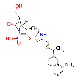 CC(SCC1C[C@H](SC2=C(C(=O)O)N3C(=O)[C@@H](CCO)[C@@H]3[C@H]2C)CN1)c1ccc2cccc(N)c2c1